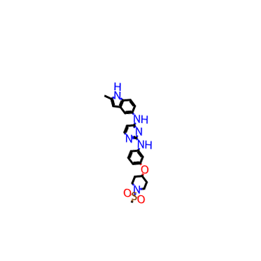 Cc1cc2cc(Nc3ccnc(Nc4cccc(OC5CCN(S(C)(=O)=O)CC5)c4)n3)ccc2[nH]1